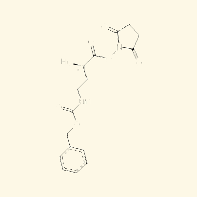 O=C(NCC[C@@H](O)C(=O)ON1C(=O)CCC1=O)OCc1ccccc1